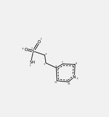 O=S(=O)(S)CCc1ccncc1